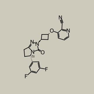 N#Cc1ncccc1O[C@H]1C[C@H](n2nc3n(c2=O)[C@H](c2cc(F)cc(F)c2)CC3)C1